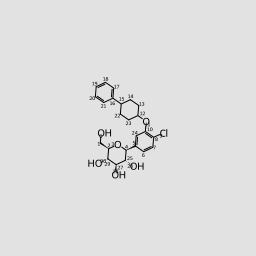 OC[C@H]1O[C@@H](c2ccc(Cl)c(OC3CCC(c4ccccc4)CC3)c2)[C@H](O)[C@@H](O)[C@@H]1O